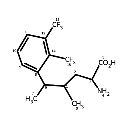 CC(CC(N)C(=O)O)C(C)c1cccc(C(F)(F)F)c1C(F)(F)F